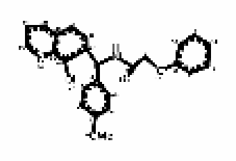 COc1ccc(C(NC(=O)COc2ccccc2)c2ccc3cccnc3c2O)cc1